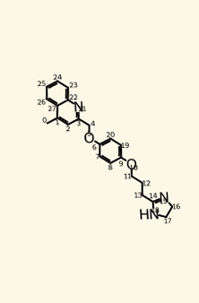 Cc1cc(COc2ccc(OCCCC3=NCCN3)cc2)nc2ccccc12